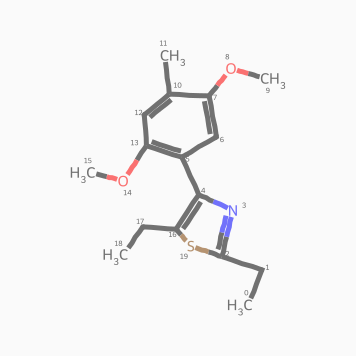 CCc1nc(-c2cc(OC)c(C)cc2OC)c(CC)s1